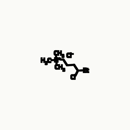 CCC(Cl)CCC[N+](C)(C)C.[Cl-]